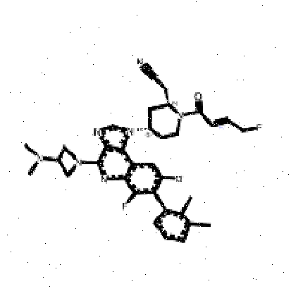 Cc1cccc(-c2c(Cl)cc3c(nc(N4CC(N(C)C)C4)c4ncn([C@H]5CCN(C(=O)/C=C/CF)[C@H](CC#N)C5)c43)c2F)c1C